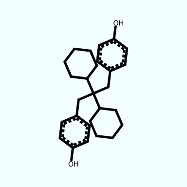 Oc1ccc(CC(Cc2ccc(O)cc2)(C2CCCCC2)C2CCCCC2)cc1